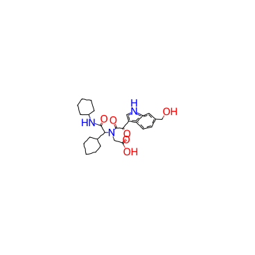 O=C(O)CN(C(=O)C(=O)c1c[nH]c2cc(CO)ccc12)C(C(=O)NC1CCCCC1)C1CCCCC1